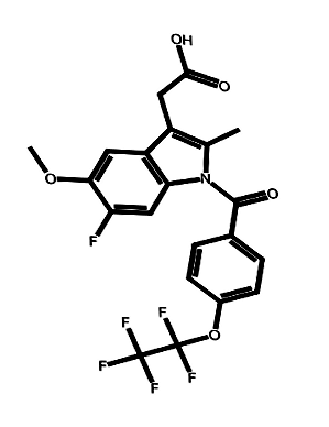 COc1cc2c(CC(=O)O)c(C)n(C(=O)c3ccc(OC(F)(F)C(F)(F)F)cc3)c2cc1F